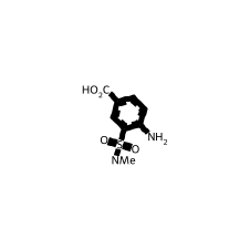 CNS(=O)(=O)c1cc(C(=O)O)ccc1N